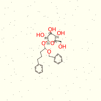 OC[C@H]1O[C@@H](OC(CCCc2ccccc2)OCc2ccccc2)[C@H](O)[C@@H](O)[C@@H]1O